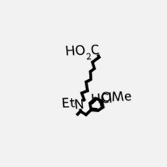 CCN(CCCCCCCCCC(=O)O)C(C)Cc1ccc(OC)cc1.Cl